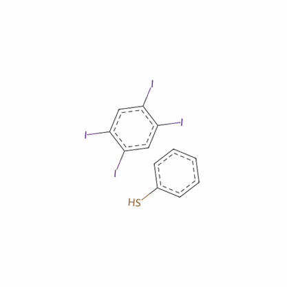 Ic1cc(I)c(I)cc1I.Sc1ccccc1